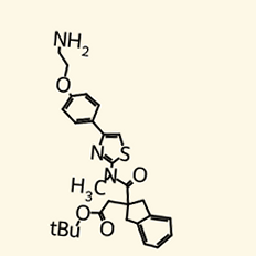 CN(C(=O)C1(CC(=O)OC(C)(C)C)Cc2ccccc2C1)c1nc(-c2ccc(OCCN)cc2)cs1